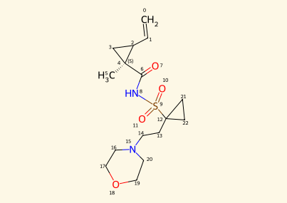 C=CC1C[C@]1(C)C(=O)NS(=O)(=O)C1(CCN2CCOCC2)CC1